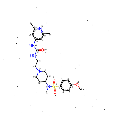 COc1ccc(S(=O)(=O)N(C)C2CCN(CCNC(=O)Nc3cc(C)nc(C)c3)CC2)cc1